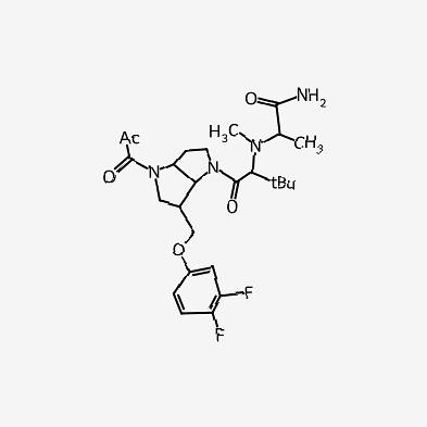 CC(=O)C(=O)N1CC(COc2ccc(F)c(F)c2)C2C1CCN2C(=O)C(N(C)C(C)C(N)=O)C(C)(C)C